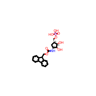 O=C(N[C@@H]1C[C@H](COP(=O)(O)O)[C@@H](O)[C@H]1O)OCC1c2ccccc2-c2ccccc21